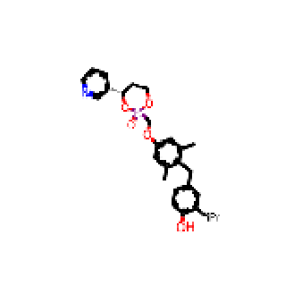 Cc1cc(OCP2(=O)OCC[C@@H](c3cccnc3)O2)cc(C)c1Cc1ccc(O)c(C(C)C)c1